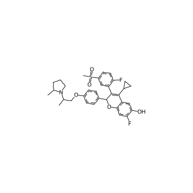 CC1CCCN1C(C)COc1ccc(C2Oc3cc(F)c(O)cc3C(C3CC3)=C2c2cc(S(C)(=O)=O)ccc2F)cc1